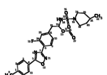 Cc1ccc(-c2nc(-c3ccc(CC(NS(=O)(=O)N4CCC(C)CC4)OC=O)cc3F)no2)cc1